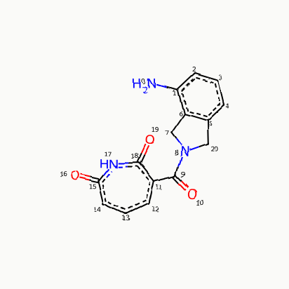 Nc1cccc2c1CN(C(=O)c1cccc(=O)[nH]c1=O)C2